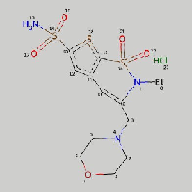 CCN1C(CN2CCOCC2)=Cc2cc(S(N)(=O)=O)sc2S1(=O)=O.Cl